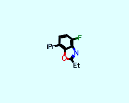 CCc1nc2c(F)ccc(C(C)C)c2o1